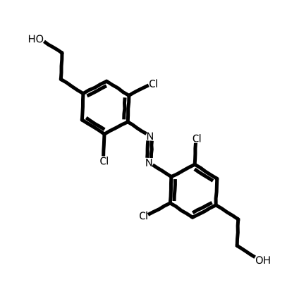 OCCc1cc(Cl)c(/N=N/c2c(Cl)cc(CCO)cc2Cl)c(Cl)c1